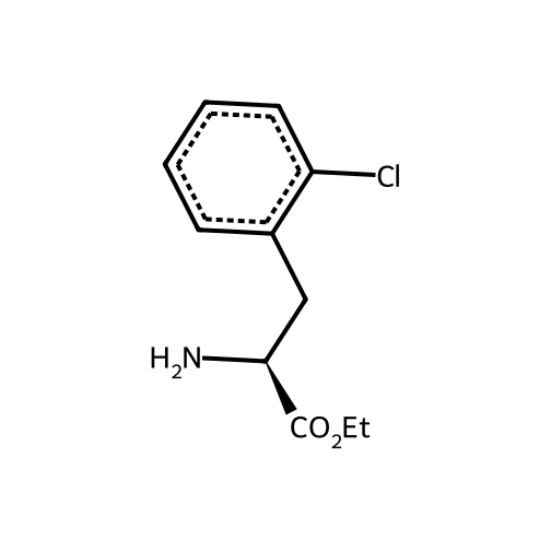 CCOC(=O)[C@@H](N)Cc1ccccc1Cl